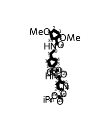 COc1ccc(OC)c(C(=O)NCCc2ccc(S(=O)(=O)NC(=O)c3ccc(OC(=O)OC(C)C)nc3)cc2)c1